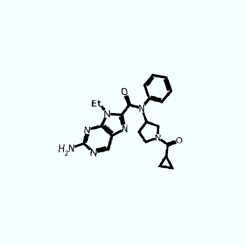 CCn1c(C(=O)N(c2ccccc2)C2CCN(C(=O)C3CC3)C2)nc2cnc(N)nc21